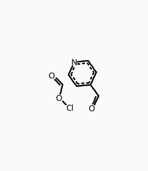 O=COCl.O=Cc1ccncc1